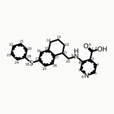 O=C(O)c1ccncc1NCC1CCCc2cc(Sc3ccccc3)ccc21